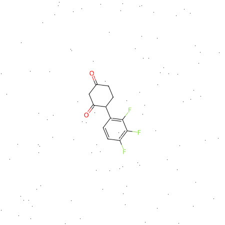 O=C1CCC(c2ccc(F)c(F)c2F)C(=O)C1